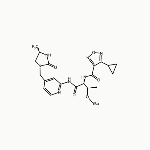 C[C@@H](OC(C)(C)C)[C@H](NC(=O)c1nonc1C1CC1)C(=O)Nc1cc(CN2C[C@@H](C(F)(F)F)NC2=O)ccn1